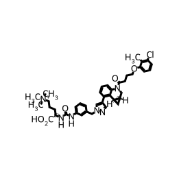 Cc1c(Cl)cccc1OCCCC(=O)N1C[C@@H]2C[C@@H]2c2c(-c3cnn(Cc4cccc(NC(=O)N[C@@H](CCC[N+](C)(C)C)C(=O)O)c4)c3)cccc21